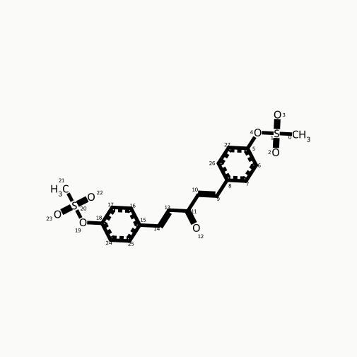 CS(=O)(=O)Oc1ccc(/C=C/C(=O)/C=C/c2ccc(OS(C)(=O)=O)cc2)cc1